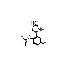 Cl.Fc1ccc(OC(F)F)c(C2CCCN2)c1